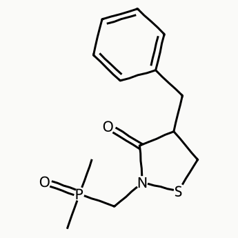 CP(C)(=O)CN1SCC(Cc2ccccc2)C1=O